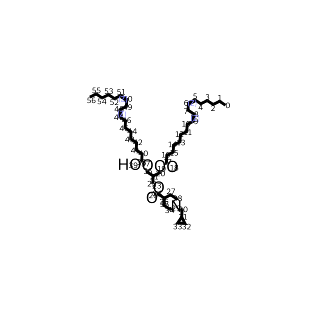 CCCCC/C=C\C/C=C\CCCCCCCC(=O)OCC(COC(=O)C1CCN(CC2CC2)CC1)COC(O)CCCCCCC/C=C\C/C=C\CCCCC